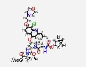 C=C[C@@H]1C[C@]1(NC(=O)[C@@H]1C[C@@H](Oc2cc(C=C(C)C)nc3c(Cl)c(OCCN4CCOCC4)ccc23)CN1C(=O)[C@@H](NC(=O)O[C@@H]1C[C@@H]2C[C@@H]2C1)C(C)(C)C)C(=O)OC